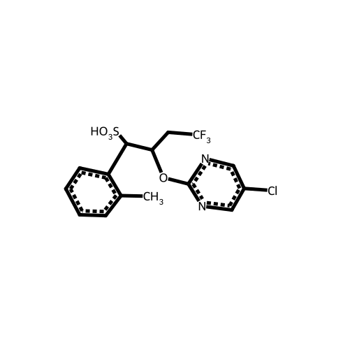 Cc1ccccc1C(C(CC(F)(F)F)Oc1ncc(Cl)cn1)S(=O)(=O)O